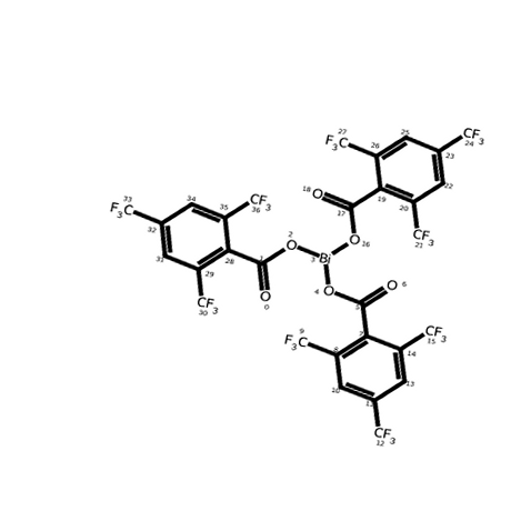 O=C([O][Bi]([O]C(=O)c1c(C(F)(F)F)cc(C(F)(F)F)cc1C(F)(F)F)[O]C(=O)c1c(C(F)(F)F)cc(C(F)(F)F)cc1C(F)(F)F)c1c(C(F)(F)F)cc(C(F)(F)F)cc1C(F)(F)F